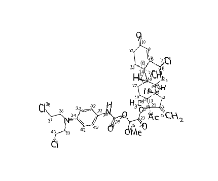 C=C1C[C@H]2[C@@H]3C=C(Cl)C4=CC(=O)CC[C@]4(C)[C@H]3CC[C@]2(C)[C@@]1(OC(=O)C(OC)OC(=O)Nc1ccc(N(CCCl)CCCl)cc1)C(C)=O